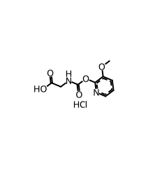 COc1cccnc1OC(=O)NCC(=O)O.Cl